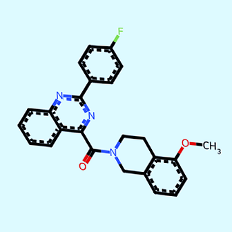 COc1cccc2c1CCN(C(=O)c1nc(-c3ccc(F)cc3)nc3ccccc13)C2